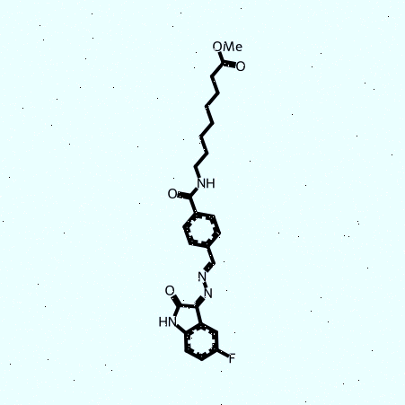 COC(=O)CCCCCCCNC(=O)c1ccc(C=NN=C2C(=O)Nc3ccc(F)cc32)cc1